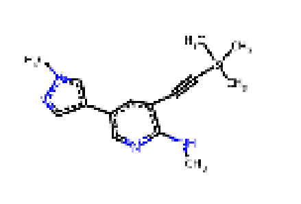 CNc1ncc(-c2cnn(C)c2)cc1C#C[Si](C)(C)C